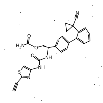 C#Cc1nc(NC(=O)N[C@@H](COC(N)=O)c2ccc(-c3ccccc3C3(C#N)CC3)cc2)cs1